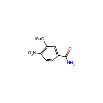 CC(C)COc1cc(C(N)=O)ccc1[N+](=O)[O-]